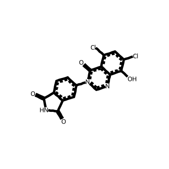 O=C1NC(=O)c2cc(-n3cnc4c(O)c(Cl)cc(Cl)c4c3=O)ccc21